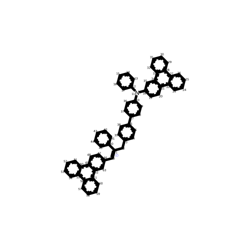 C(=C(\Cc1ccc(-c2ccc(N(c3ccccc3)c3ccc4c5ccccc5c5ccccc5c4c3)cc2)cc1)c1ccccc1)/c1ccc2c3ccccc3c3ccccc3c2c1